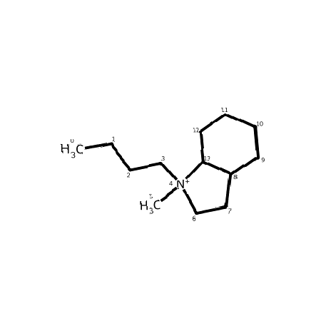 CCCC[N+]1(C)CCC2CCCCC21